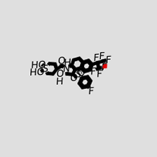 O=C(N1CC[C@@]2(S(=O)(=O)c3ccc(F)cc3)c3ccc(C(F)(C(F)(F)F)C(F)(F)F)cc3CC[C@@H]12)C1(O)CCS(O)(O)CC1